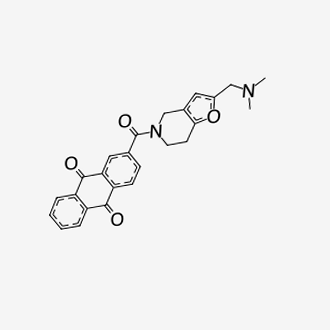 CN(C)Cc1cc2c(o1)CCN(C(=O)c1ccc3c(c1)C(=O)c1ccccc1C3=O)C2